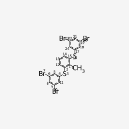 Cc1c(Sc2cc(Br)cc(Br)c2)cccc1Sc1cc(Br)cc(Br)c1